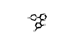 Clc1ccc(-c2n[c]ncc2N2CCNCC2)c(Cl)c1